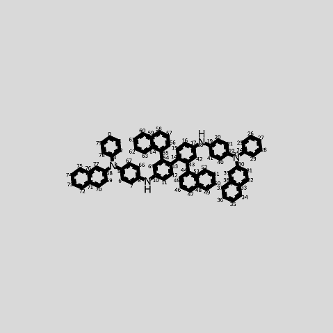 c1ccc(N(c2ccc(Nc3ccc(-c4ccc(Nc5ccc(N(c6ccccc6)c6ccc7ccccc7c6)cc5)cc4-c4cccc5ccccc45)c(-c4cccc5ccccc45)c3)cc2)c2ccc3ccccc3c2)cc1